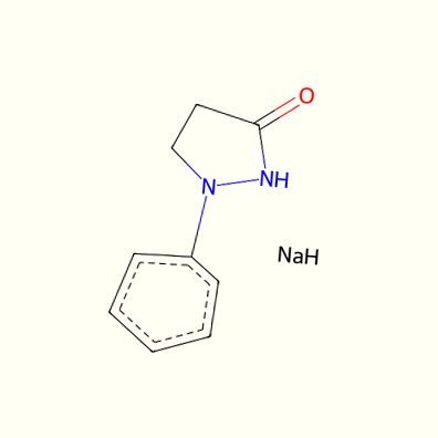 O=C1CCN(c2ccccc2)N1.[NaH]